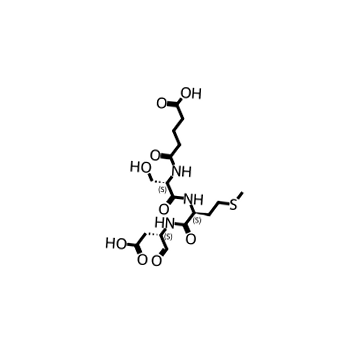 CSCC[C@H](NC(=O)[C@H](CO)NC(=O)CCCC(=O)O)C(=O)N[C@H](C=O)CC(=O)O